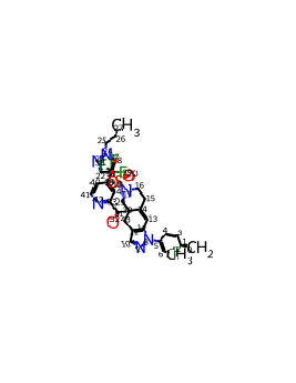 C=C(F)/C=C\C(=C/C)n1ncc2c1C=C1CCN(S(=O)(=O)c3cnn(CCC)c3)C[C@@]1(C(=O)c1cc(C(F)(F)F)ccn1)C2